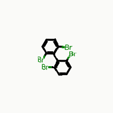 Brc1cccc(Br)c1-c1c(Br)cccc1Br